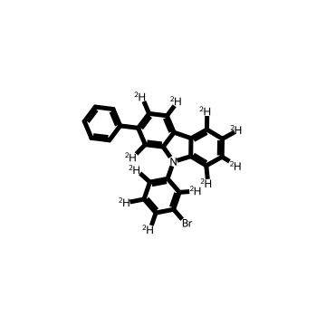 [2H]c1c([2H])c(Br)c([2H])c(-n2c3c([2H])c([2H])c([2H])c([2H])c3c3c([2H])c([2H])c(-c4ccccc4)c([2H])c32)c1[2H]